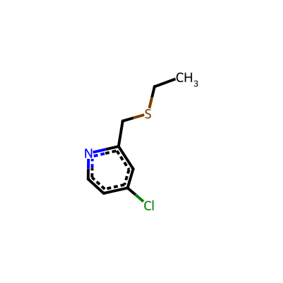 CCSCc1cc(Cl)ccn1